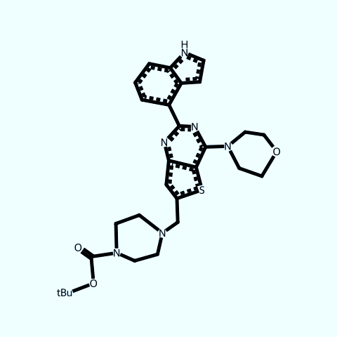 CC(C)(C)OC(=O)N1CCN(Cc2cc3nc(-c4cccc5[nH]ccc45)nc(N4CCOCC4)c3s2)CC1